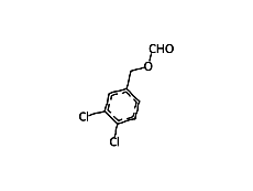 O=COCc1ccc(Cl)c(Cl)c1